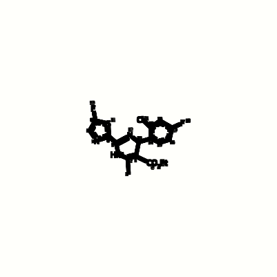 CCOC(=O)C1=C(C)NC(c2ncc(F)s2)=NC1c1ccc(F)cc1Cl